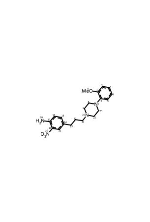 COc1ccccc1N1CCN(CCCc2ccc(N)c([N+](=O)[O-])c2)CC1